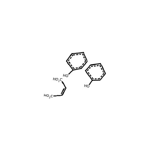 O=C(O)/C=C\C(=O)O.Oc1ccccc1.Oc1ccccc1